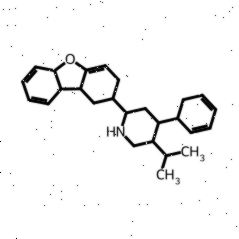 CC(C)C1CNC(C2CC=C3OC4C=CC=CC4C3C2)CC1C1C=CC=CC1